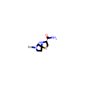 CC(=O)N1CCC2(C1)N[C@H](C(N)=O)CS2